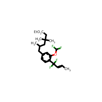 C/C=C/C(F)(F)c1ccc(CC(C)CC(C)(C)CC(=O)OCC)cc1OC(F)F